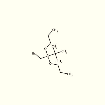 CCCO[Si](CBr)(OCCC)C(C)(C)C